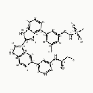 CCC(=O)Nc1cncc(-c2cc3c(-c4nc5c(-c6cc(F)cc(CNS(C)(=O)=O)c6)ccnc5[nH]4)n[nH]c3cn2)c1